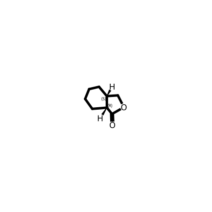 O=C1OC[C@H]2CCCC[C@@H]12